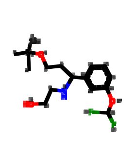 CC(C)(C)[Si](C)(C)OCCC(NCCO)c1cccc(OC(F)F)c1